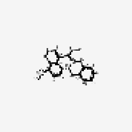 CCC(C1=CCCc2c(OC)cccc21)N1CCc2ccccc2C1